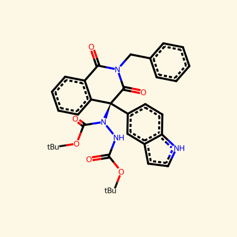 CC(C)(C)OC(=O)NN(C(=O)OC(C)(C)C)[C@]1(c2ccc3[nH]ccc3c2)C(=O)N(Cc2ccccc2)C(=O)c2ccccc21